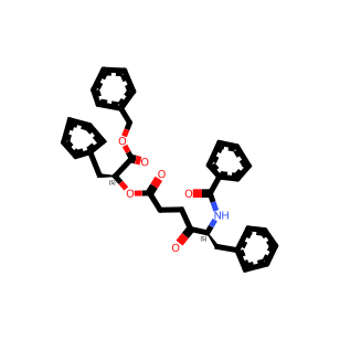 O=C(CCC(=O)[C@H](Cc1ccccc1)NC(=O)c1ccccc1)O[C@@H](Cc1ccccc1)C(=O)OCc1ccccc1